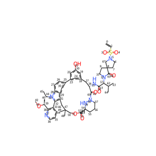 C=CS(=O)(=O)N1CCC2(CCN(C(C(=O)N[C@H]3Cc4cc(O)cc(c4)-c4ccc5c(c4)c(c(-c4cccnc4[C@H](C)OC)n5CC)CC(C)(C)COC(=O)[C@@H]4CCCN(N4)C3=O)C(C)C)C2=O)C1